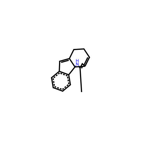 CC1=CC2=CCCC3=Cc4ccccc4C23N1